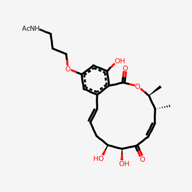 CC(=O)NCCCOc1cc(O)c2c(c1)/C=C/C[C@H](O)[C@H](O)C(=O)/C=C\[C@@H](C)[C@H](C)OC2=O